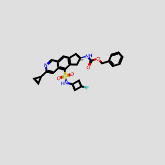 O=C(N[C@@H]1Cc2cc3cnc(C4CC4)cc3c(S(=O)(=O)NC3CC(F)C3)c2C1)OCc1ccccc1